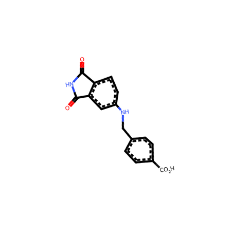 O=C(O)c1ccc(CNc2ccc3c(c2)C(=O)NC3=O)cc1